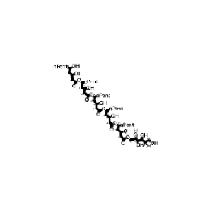 CCCCCC(O)CC(O)CC(=O)OC(CCCCC)CC(O)CC(=O)OC(CCCCC)CC(O)CC(=O)OC(CCCCC)CC(O)CC(=O)OC(CCCCC)CC(O)CC(=O)OCC(O)C(O)C(O)C(O)CO